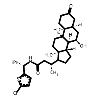 CC(C)[C@H](NC(=O)C[C@@H](C)C1CC[C@H]2[C@@H]3[C@H](O)C[C@@H]4CC(=O)CC[C@]4(C)[C@H]3CC[C@]12C)c1ccc(Cl)s1